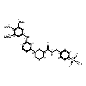 COc1cc(Nc2nccc(N3CCCC(C(=O)NCc4ccc(S(C)(=O)=O)cc4)C3)n2)cc(OC)c1OC